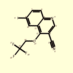 N#Cc1cnc2ccc(I)cc2c1OCC(F)(F)F